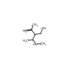 CNC(C)C(CO)C(C)=N